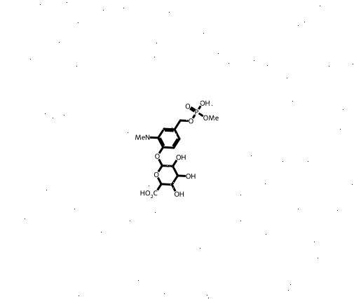 CNc1cc(COP(=O)(O)OC)ccc1OC1OC(C(=O)O)C(O)C(O)C1O